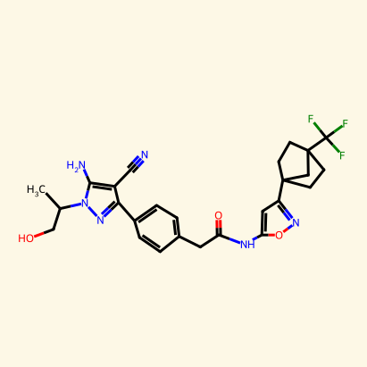 CC(CO)n1nc(-c2ccc(CC(=O)Nc3cc(C45CCC(C(F)(F)F)(CC4)C5)no3)cc2)c(C#N)c1N